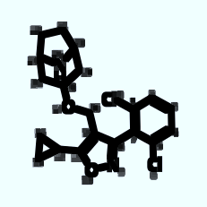 Clc1cccc(Cl)c1-c1noc(C2CC2)c1COC1CC2CCC(C1)N2